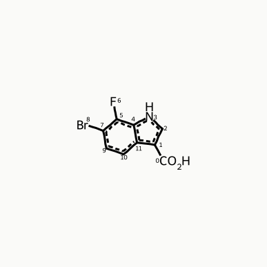 O=C(O)c1c[nH]c2c(F)c(Br)ccc12